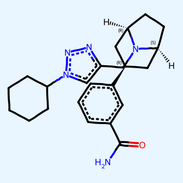 NC(=O)c1cccc([C@H]2C[C@H]3CC[C@@H](C2)N3Cc2cn(C3CCCCC3)nn2)c1